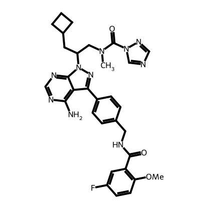 COc1ccc(F)cc1C(=O)NCc1ccc(-c2nn(C(CC3CCC3)CN(C)C(=O)n3cncn3)c3ncnc(N)c23)cc1